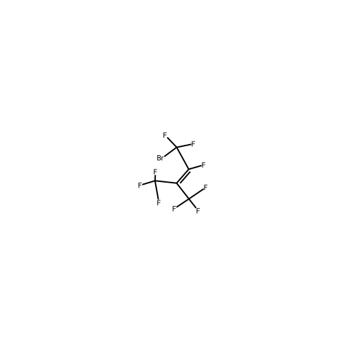 FC(=C(C(F)(F)F)C(F)(F)F)C(F)(F)Br